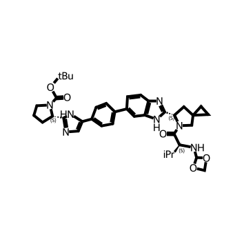 CC(C)[C@H](NC1OCO1)C(=O)N1CC2(CC2)C[C@H]1c1nc2ccc(-c3ccc(-c4cnc([C@@H]5CCCN5C(=O)OC(C)(C)C)[nH]4)cc3)cc2[nH]1